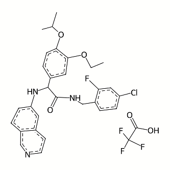 CCOc1cc(C(Nc2ccc3cnccc3c2)C(=O)NCc2ccc(Cl)cc2F)ccc1OC(C)C.O=C(O)C(F)(F)F